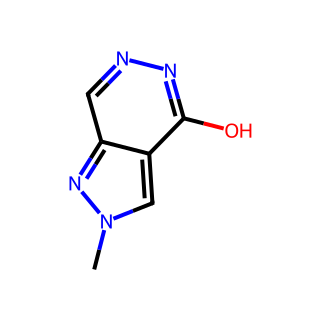 Cn1cc2c(O)nncc2n1